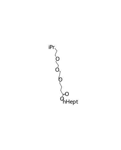 CCCCCCCOC(=O)CCCOCCOCCOCCC(C)C